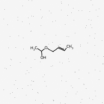 CC=CCOC(C)O